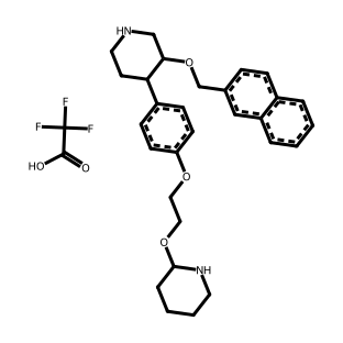 O=C(O)C(F)(F)F.c1ccc2cc(COC3CNCCC3c3ccc(OCCOC4CCCCN4)cc3)ccc2c1